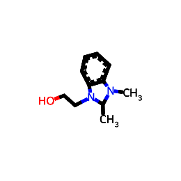 CC1N(C)c2ccccc2N1CCO